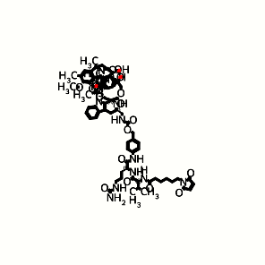 COc1c(C)cc2c(c1O)[C@@H]1[C@@H]3[C@@H]4SC[C@]5(N[C@@H](CNC(=O)OCc6ccc(NC(=O)[C@H](CCCNC(N)=O)NC(=O)[C@@H](NC(=O)CCCCCN7C(=O)C=CC7=O)C(C)C)cc6)Cc6c5[nH]c5ccccc65)C(=O)OC[C@@H](c5c6c(c(C)c(OC(C)=O)c54)OCO6)N3C3(O)CN1[C@]2(C)C3